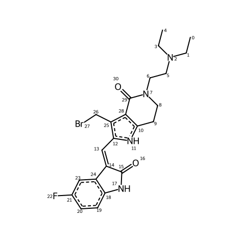 CCN(CC)CCN1CCc2[nH]c(/C=C3\C(=O)Nc4ccc(F)cc43)c(CBr)c2C1=O